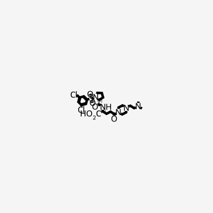 CN(C)CCN1CCN(C(=O)CC[C@H](NC(=O)[C@H]2CCCN2S(=O)(=O)c2cc(Cl)cc(Cl)c2)C(=O)O)CC1